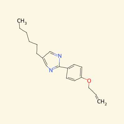 C=CCOc1ccc(-c2ncc(CCCCCC)cn2)cc1